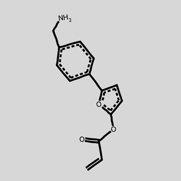 C=CC(=O)Oc1ccc(-c2ccc(CN)cc2)o1